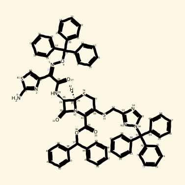 Nc1nc(/C(=N/OC(c2ccccc2)(c2ccccc2)c2ccccc2)C(=O)N[C@@H]2C(=O)N3C(C(=O)OC(c4ccccc4)c4ccccc4)=C(SCc4ncn(C(c5ccccc5)(c5ccccc5)c5ccccc5)n4)CS[C@H]23)cs1